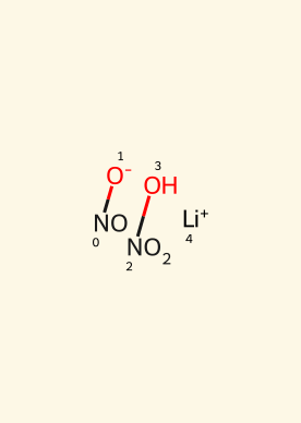 O=N[O-].O=[N+]([O-])O.[Li+]